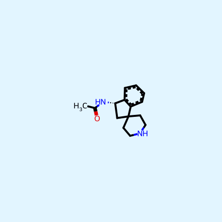 CC(=O)N[C@H]1CC2(CCNCC2)c2ccccc21